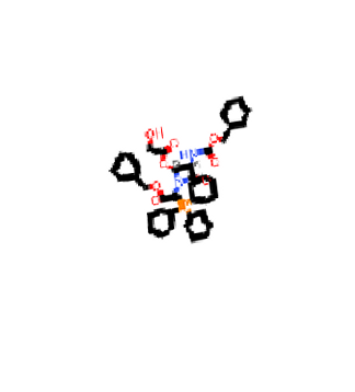 O=C(CO)O[C@H]1[C@@H](NC(=O)OCc2ccccc2)C(=O)N1C(C(=O)OCc1ccccc1)=P(c1ccccc1)(c1ccccc1)c1ccccc1